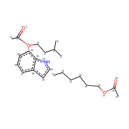 CC(=O)OCCC(C)C.CCCCCCOC(C)=O.c1ccc2[nH]ccc2c1